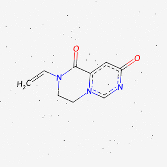 C=CN1CCn2cnc(=O)cc2C1=O